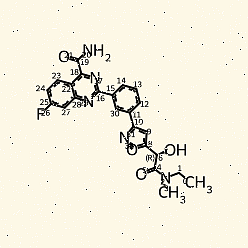 CCN(C)C(=O)[C@H](O)c1cc(-c2cccc(-c3nc(C(N)=O)c4ccc(F)cc4n3)c2)no1